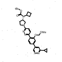 COCOc1cc(-c2cnnc(C3CC3)c2)ccc1-c1ccc(N2CC[C@H](N(C(=O)OC(C)(C)C)C3CCC3)C2)nn1